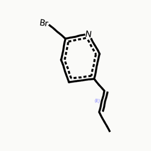 C/C=C/c1ccc(Br)nc1